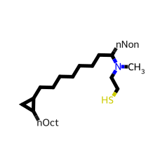 CCCCCCCCCC(CCCCCCCC1CC1CCCCCCCC)N(C)CCS